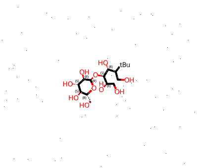 CC(C)(C)C(CO)[C@@H](O)[C@H](O[C@H]1O[C@H](CO)[C@@H](O)[C@H](O)[C@H]1O)[C@H](O)CO